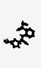 COC(=O)c1ccccc1OC(=O)N1CC[C@@H](N)C1